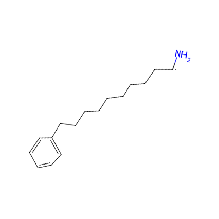 N[CH]CCCCCCCCCc1ccccc1